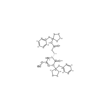 CC(C)(C)OC(=O)N[C@H](CCC(=O)OC1(Cc2ccccc2)CCCC1)C(=O)OC1(Cc2ccccc2)CCCC1